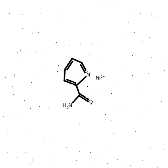 NC(=O)c1ccccn1.[Ni+2]